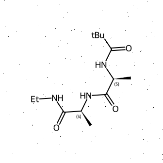 CCNC(=O)[C@H](C)NC(=O)[C@H](C)NC(=O)C(C)(C)C